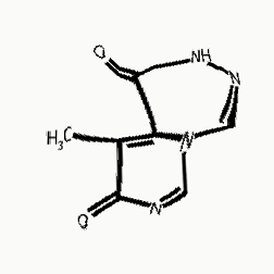 Cc1c(=O)ncn2cn[nH]c(=O)c12